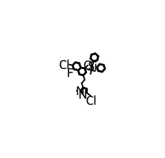 Cn1nc(CCl)cc1CCc1cc(O[Si](c2ccccc2)(c2ccccc2)C(C)(C)C)c2ccc(Cl)c(F)c2c1